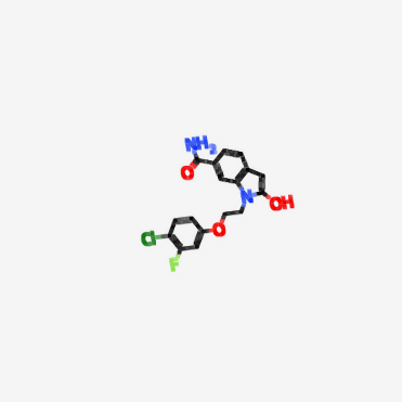 NC(=O)c1ccc2cc(O)n(CCOc3ccc(Cl)c(F)c3)c2c1